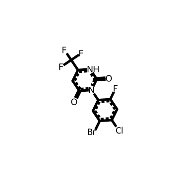 O=c1cc(C(F)(F)F)[nH]c(=O)n1-c1cc(Br)c(Cl)cc1F